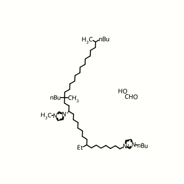 CCCCC(C)CCCCCCCCCCCCC(C)(CCCC)CCC(CCCCCCCC(CC)CCCCCCC[n+]1ccn(CCCC)c1)[n+]1ccn(C)c1.O=CO